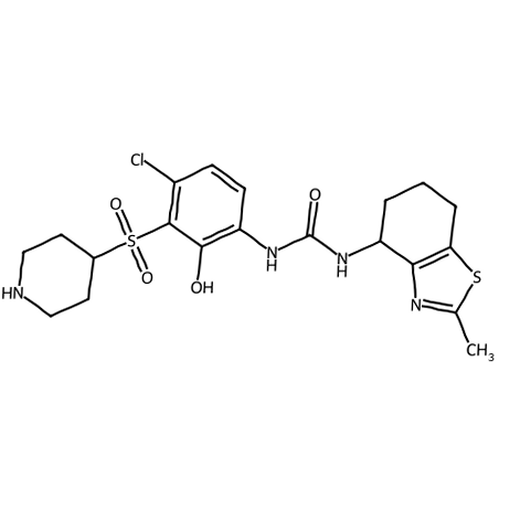 Cc1nc2c(s1)CCCC2NC(=O)Nc1ccc(Cl)c(S(=O)(=O)C2CCNCC2)c1O